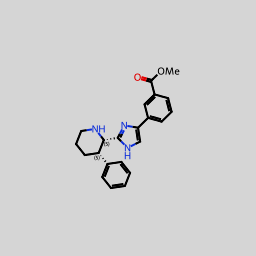 COC(=O)c1cccc(-c2c[nH]c([C@H]3NCCC[C@H]3c3ccccc3)n2)c1